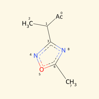 CC(=O)C(C)c1noc(C)n1